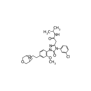 COc1cc(CCN2C3CCC2COC3)ccc1-n1nc(CC(=O)NC(C)C)n(-c2cccc(Cl)c2)c1=O